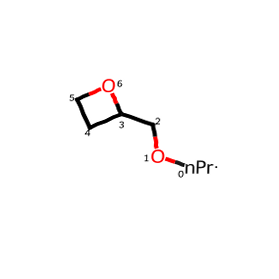 CC[CH]OCC1CCO1